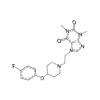 Cn1c(=O)c2c(ncn2CCN2CCC(Oc3ccc(F)cc3)CC2)n(C)c1=O